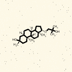 CC(C)(O)CO[C@H]1CCC2[C@@H]3CC[C@@H]4C[C@@](C)(O)CC[C@]4(C)[C@H]3CC[C@@]21C